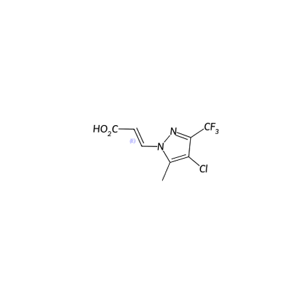 Cc1c(Cl)c(C(F)(F)F)nn1/C=C/C(=O)O